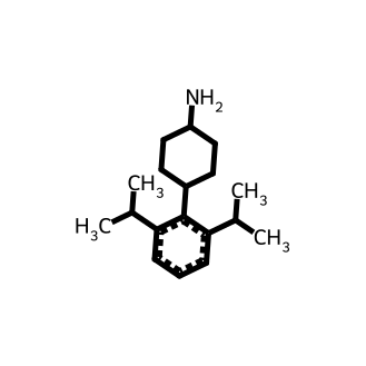 CC(C)c1cccc(C(C)C)c1C1CCC(N)CC1